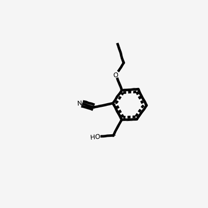 CCOc1cccc([CH]O)c1C#N